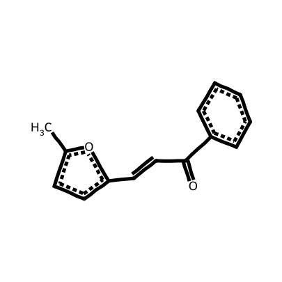 Cc1ccc(/C=C/C(=O)c2ccccc2)o1